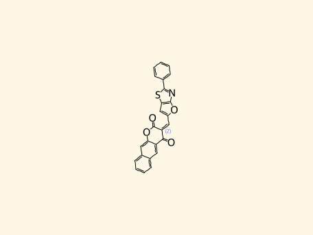 O=C1Oc2cc3ccccc3cc2C(=O)/C1=C/c1cc2sc(-c3ccccc3)nc2o1